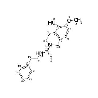 COc1ccc2c(c1O)CCN(C(=S)NCCc1ccccc1)C2